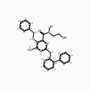 CC(C)N(CCO)C(=O)c1nc(Cc2ncccc2-c2ccccc2)nc(O)c1OCc1ccccc1